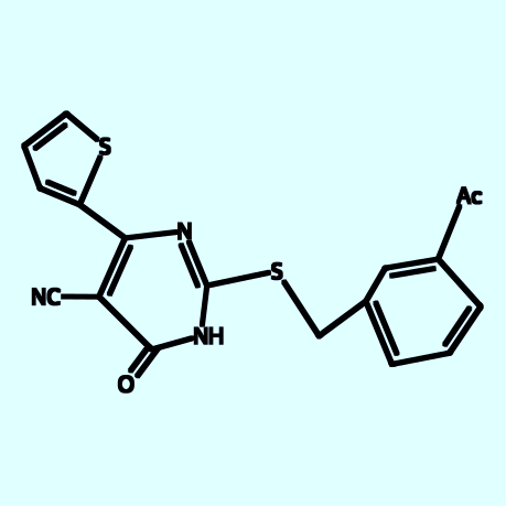 CC(=O)c1cccc(CSc2nc(-c3cccs3)c(C#N)c(=O)[nH]2)c1